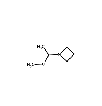 COC(C)N1CCC1